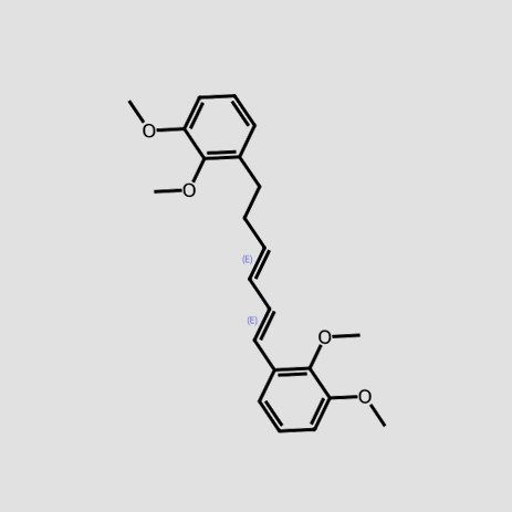 COc1cccc(/C=C/C=C/CCc2cccc(OC)c2OC)c1OC